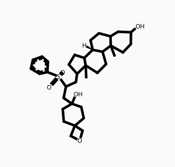 CC12CCC(O)CC1CC[C@@H]1C2CCC2(C)C(CC(CC3(O)CCC4(CC3)COC4)S(=O)(=O)c3ccccc3)CCC12